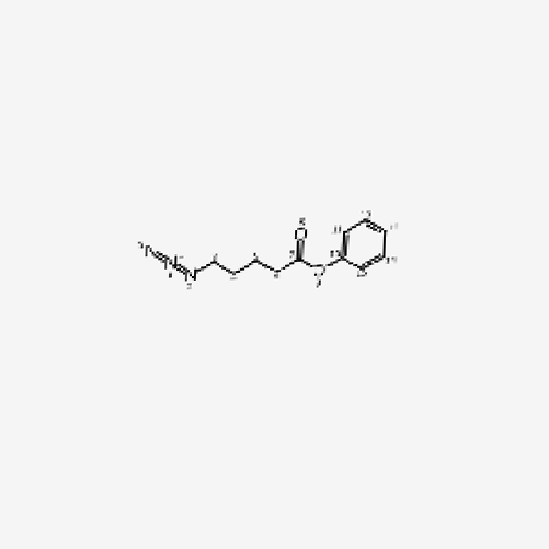 [N-]=[N+]=NCCCCC(=O)Oc1ccccc1